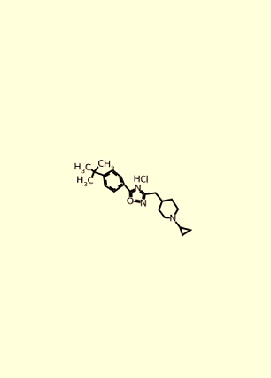 CC(C)(C)c1ccc(-c2nc(CC3CCN(C4CC4)CC3)no2)cc1.Cl